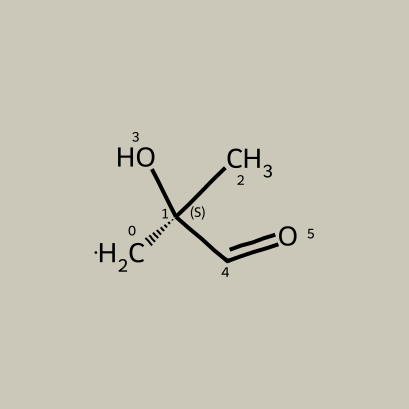 [CH2][C@@](C)(O)C=O